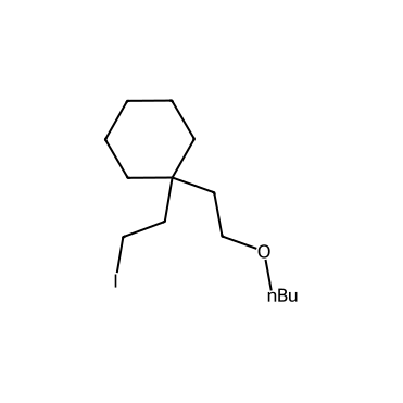 CCCCOCCC1(CCI)CCCCC1